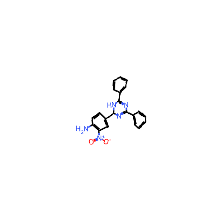 Nc1ccc(C2N=C(c3ccccc3)N=C(c3ccccc3)N2)cc1[N+](=O)[O-]